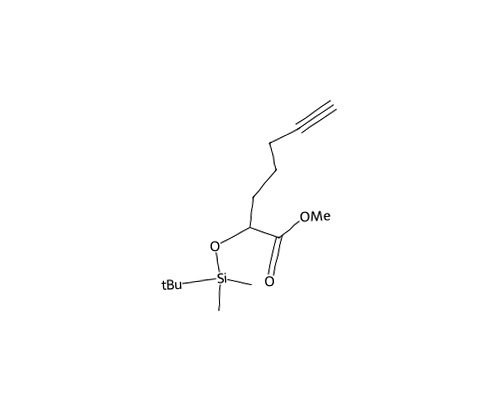 C#CCCCC(O[Si](C)(C)C(C)(C)C)C(=O)OC